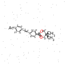 CC(=O)c1ccc(C#Cc2ccc(B3OCC(C)(C)CO3)cc2)cc1